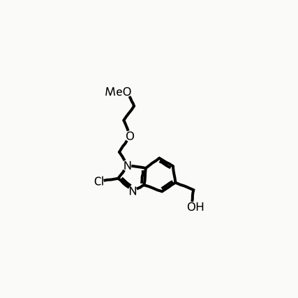 COCCOCn1c(Cl)nc2cc(CO)ccc21